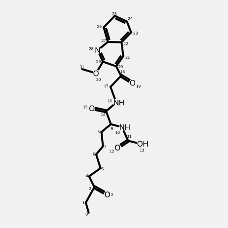 CCC(=O)CCCCCC(NC(=O)O)C(=O)NCC(=O)c1cc2ccccc2nc1OC